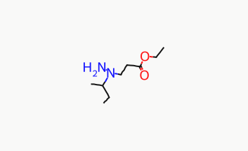 CCOC(=O)CCN(N)C(C)CC